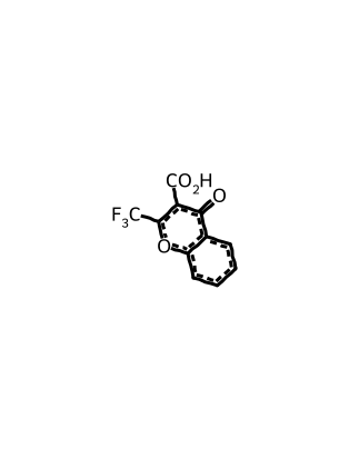 O=C(O)c1c(C(F)(F)F)oc2ccccc2c1=O